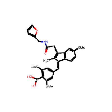 COc1ccc2c(c1)C(CC(=O)NCc1ccco1)=C(C)C2=Cc1cc(OC)c(B(O)O)c(OC)c1